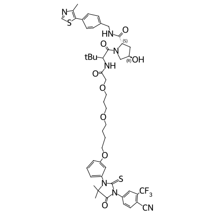 Cc1ncsc1-c1ccc(CNC(=O)[C@@H]2C[C@@H](O)CN2C(=O)C(NC(=O)COCCCOCCCCOc2cccc(N3C(=S)N(c4ccc(C#N)c(C(F)(F)F)c4)C(=O)C3(C)C)c2)C(C)(C)C)cc1